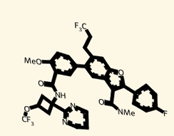 CNC(=O)c1c(-c2ccc(F)cc2)oc2cc(CCC(F)(F)F)c(-c3ccc(OC)c(C(=O)NC4(c5ncccn5)CC(OC(F)(F)F)C4)c3)cc12